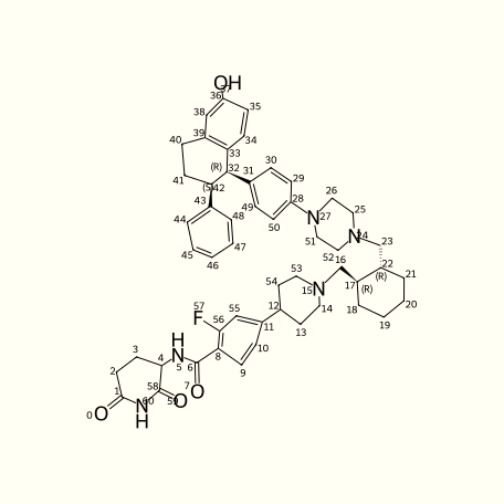 O=C1CCC(NC(=O)c2ccc(C3CCN(C[C@@H]4CCCC[C@H]4CN4CCN(c5ccc([C@@H]6c7ccc(O)cc7CC[C@@H]6c6ccccc6)cc5)CC4)CC3)cc2F)C(=O)N1